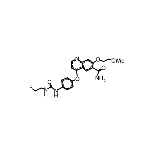 COCCOc1cc2nccc(Oc3ccc(NC(=O)NCCF)cc3)c2cc1C(N)=O